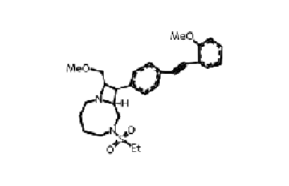 CCS(=O)(=O)N1CCCCN2[C@@H](COC)[C@@H](c3ccc(C#Cc4ccccc4OC)cc3)[C@@H]2C1